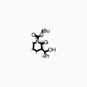 CC(C)C(O)C1CCCN(C(=O)OC(C)(C)C)C1=O